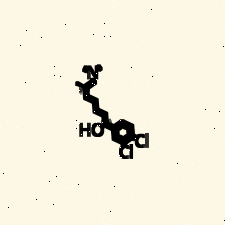 C[C@H](CCCC[C@@H](O)c1ccc(Cl)c(Cl)c1)CN(C)C